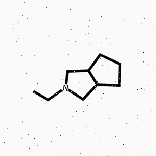 CCN1CC2CCCC2C1